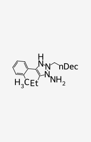 CCCCCCCCCCCN1NC(c2ccccc2C)=C(CC)N1N